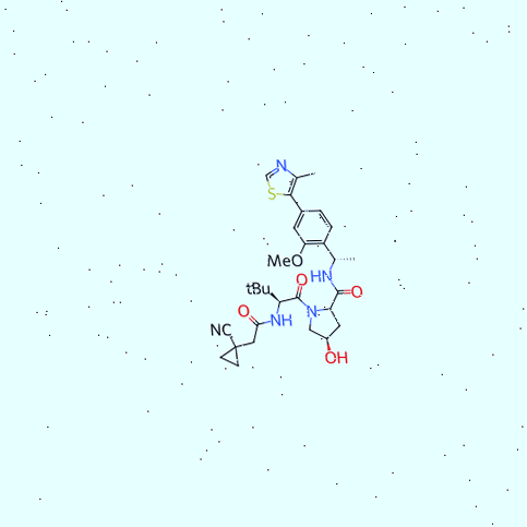 COc1cc(-c2scnc2C)ccc1[C@H](C)NC(=O)C1C[C@@H](O)CN1C(=O)[C@@H](NC(=O)CC1(C#N)CC1)C(C)(C)C